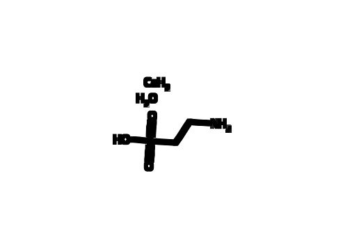 NCCS(=O)(=O)O.O.[CaH2]